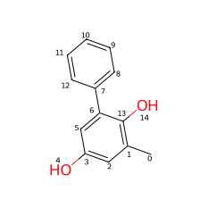 Cc1cc(O)cc(-c2ccccc2)c1O